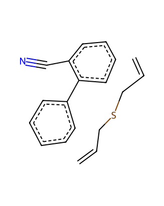 C=CCSCC=C.N#Cc1ccccc1-c1ccccc1